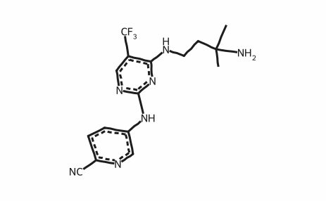 CC(C)(N)CCNc1nc(Nc2ccc(C#N)nc2)ncc1C(F)(F)F